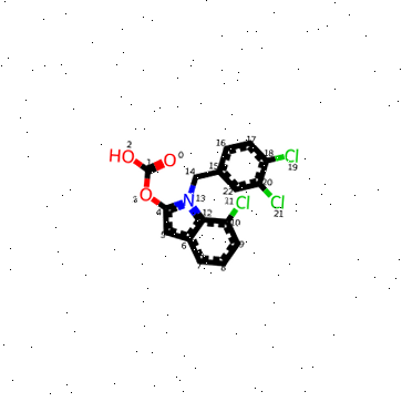 O=C(O)Oc1cc2cccc(Cl)c2n1Cc1ccc(Cl)c(Cl)c1